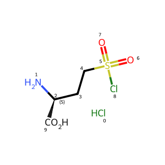 Cl.N[C@@H](CCS(=O)(=O)Cl)C(=O)O